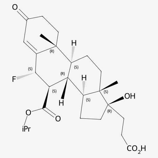 CC(C)OC(=O)[C@@H]1[C@@H]2[C@H](CC[C@@]3(C)[C@H]2CC[C@@]3(O)CCC(=O)O)[C@@]2(C)CCC(=O)C=C2[C@H]1F